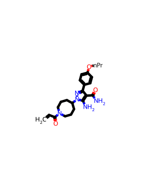 C=CC(=O)N1CCCC(n2nc(-c3ccc(OCCC)cc3)c(C(N)=O)c2N)CCC1